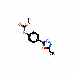 CC(C)(C)OC(=O)Nc1ccc(-c2nnc(C(F)(F)F)o2)cc1